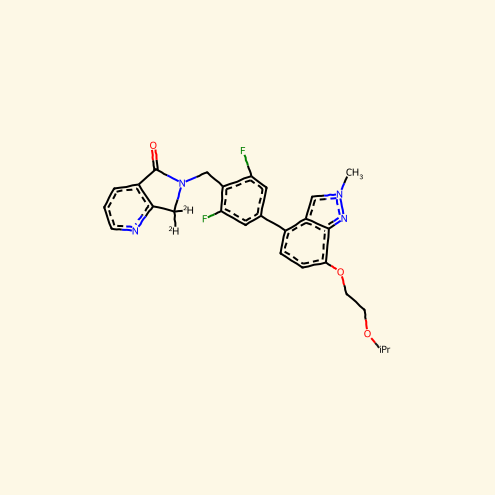 [2H]C1([2H])c2ncccc2C(=O)N1Cc1c(F)cc(-c2ccc(OCCOC(C)C)c3nn(C)cc23)cc1F